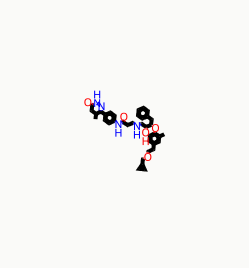 Cc1cc(CCOCC2CC2)ccc1OC(Cc1ccccc1)C(O)CNCCC(=O)Nc1ccc(C2=NNC(=O)CC2C)cc1